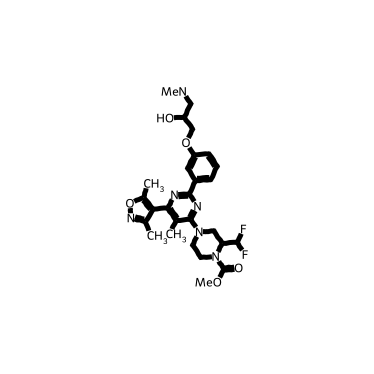 CNCC(O)COc1cccc(-c2nc(-c3c(C)noc3C)c(C)c(N3CCN(C(=O)OC)C(C(F)F)C3)n2)c1